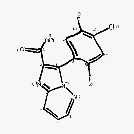 CCCC(=O)c1nc2cccnn2c1-c1cc(F)c(Cl)cc1F